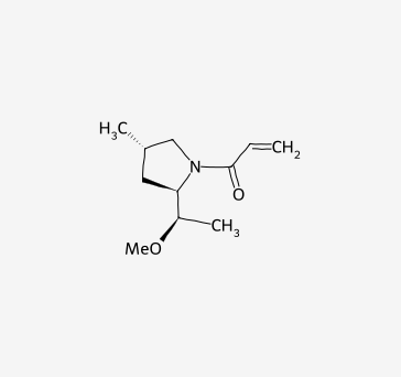 C=CC(=O)N1C[C@@H](C)C[C@@H]1[C@@H](C)OC